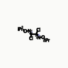 CC(C)O/N=C(Cl)/C(Cl)=N/OC(C)C